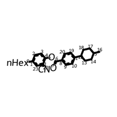 CCCCCCc1ccc(OC(=O)c2ccc(C3CCC(C)CC3)cc2)c(C#N)c1